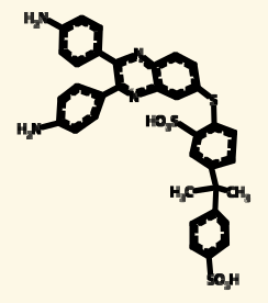 CC(C)(c1ccc(S(=O)(=O)O)cc1)c1ccc(Sc2ccc3nc(-c4ccc(N)cc4)c(-c4ccc(N)cc4)nc3c2)c(S(=O)(=O)O)c1